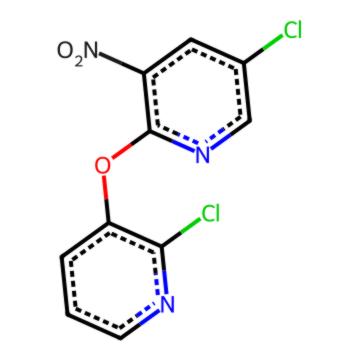 O=[N+]([O-])c1cc(Cl)cnc1Oc1cccnc1Cl